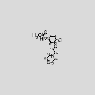 CC(=O)Nc1ccc(Cl)c(OCCN2CCOCC2)c1